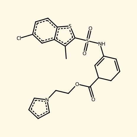 Cc1c(S(=O)(=O)NC2=CC(C(=O)OCCn3cccc3)CC=C2)sc2ccc(Cl)cc12